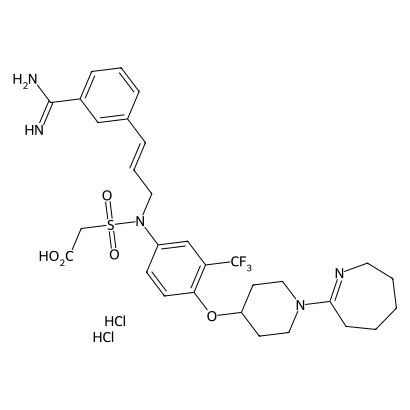 Cl.Cl.N=C(N)c1cccc(/C=C/CN(c2ccc(OC3CCN(C4=NCCCCC4)CC3)c(C(F)(F)F)c2)S(=O)(=O)CC(=O)O)c1